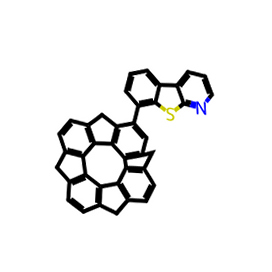 c1cnc2sc3c(-c4cc5c6c7c4Cc4ccc8c(c4-7)-c4c(ccc7c4-c4c(ccc(c4-6)C5)C7)C8)cccc3c2c1